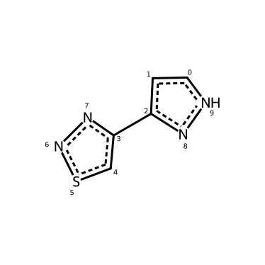 c1cc(-c2csnn2)n[nH]1